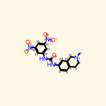 CN1CCc2ccc(NC(=O)Nc3cc([N+](=O)[O-])cc([N+](=O)[O-])c3)cc2C1